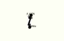 COc1ccccc1N1CCN(CCCCCCC2=C(C)C(=O)N(c3ccc(C#N)c(C(F)(F)F)c3)C2=O)CC1